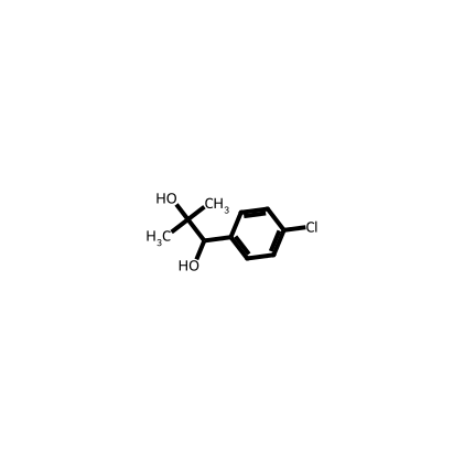 CC(C)(O)C(O)c1ccc(Cl)cc1